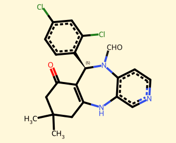 CC1(C)CC(=O)C2=C(C1)Nc1cnccc1N(C=O)[C@@H]2c1ccc(Cl)cc1Cl